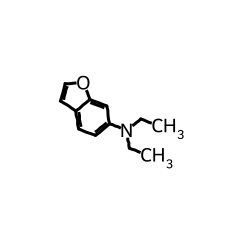 CCN(CC)c1ccc2ccoc2c1